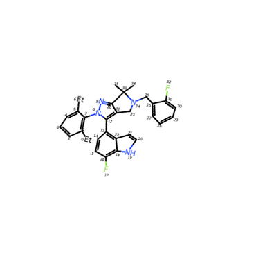 CCc1cccc(CC)c1-n1nc2c(c1-c1ccc(F)c3[nH]ccc13)CN(Cc1ccccc1F)C2(C)C